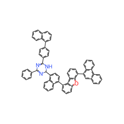 c1ccc(C2=NC(c3ccc(-c4cccc5oc6c(-c7cc8ccccc8c8ccccc78)cccc6c45)c4ccccc34)NC(c3ccc(-c4cccc5ccccc45)cc3)=N2)cc1